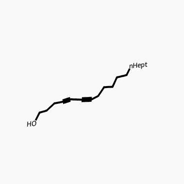 CCCCCCCCCCCCC#CC#CCCCO